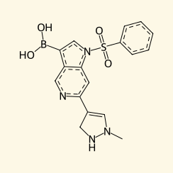 CN1C=C(c2cc3c(cn2)c(B(O)O)cn3S(=O)(=O)c2ccccc2)CN1